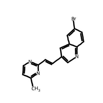 Cc1ccnc(C=Cc2cnc3ccc(Br)cc3c2)n1